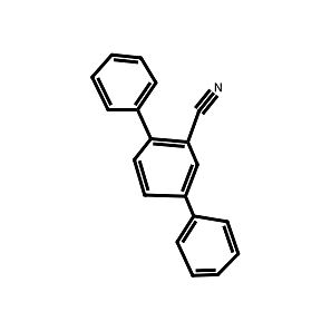 N#Cc1cc(-c2ccccc2)ccc1-c1ccccc1